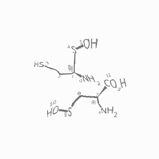 N[C@@H](CS)SO.N[C@@H](CSO)C(=O)O